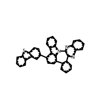 c1ccc2c(c1)-c1nc3ccccc3nc1-n1c3ccccc3c3c(-c4ccc5sc6ccccc6c5c4)ccc-2c31